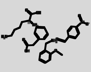 COc1ccccc1CN.NCCCC[C@H](N)C(=O)O.O=C(O)Cc1ccccc1.O=Cc1ccc([N+](=O)[O-])cc1